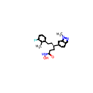 Cc1c(F)cccc1CC[C@H](CCC(=O)NO)c1ccc2cnn(C)c2c1